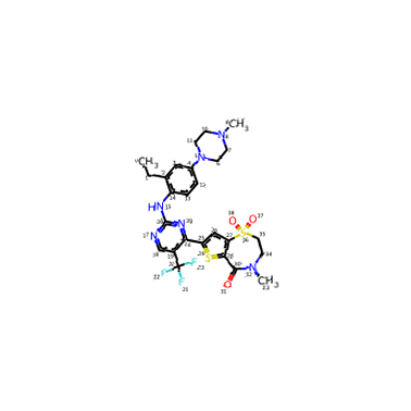 CCc1cc(N2CCN(C)CC2)ccc1Nc1ncc(C(F)(F)F)c(-c2cc3c(s2)C(=O)N(C)CCS3(=O)=O)n1